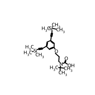 CC(C)(C)N(CCCOc1cc(C#C[Si](C)(C)C)cc(C#C[Si](C)(C)C)c1)C(=O)O